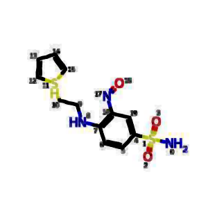 NS(=O)(=O)c1ccc(NCC[SH]2C=CC=C2)c(N=O)c1